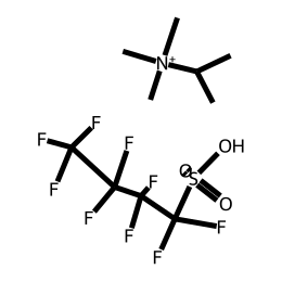 CC(C)[N+](C)(C)C.O=S(=O)(O)C(F)(F)C(F)(F)C(F)(F)C(F)(F)F